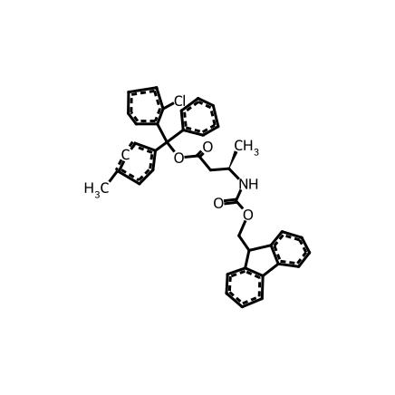 Cc1ccc(C(OC(=O)C[C@@H](C)NC(=O)OCC2c3ccccc3-c3ccccc32)(c2ccccc2)c2ccccc2Cl)cc1